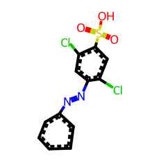 O=S(=O)(O)c1cc(Cl)c(/N=N/c2ccccc2)cc1Cl